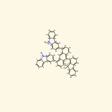 Cn1c2ccccc2c2cc(-c3cccc4c(-c5cccc6c5C(C)(C)c5ccccc5-6)c5cccc(-c6ccc7c(c6)c6ccccc6n7C)c5cc34)ccc21